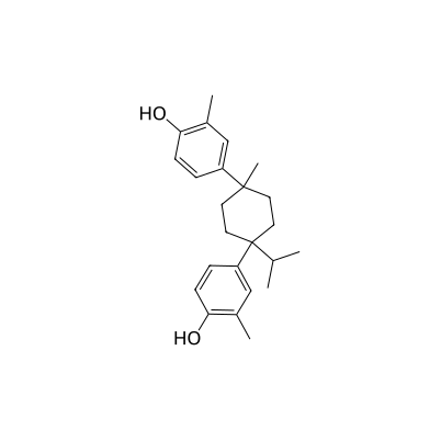 Cc1cc(C2(C)CCC(c3ccc(O)c(C)c3)(C(C)C)CC2)ccc1O